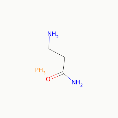 NCCC(N)=O.P